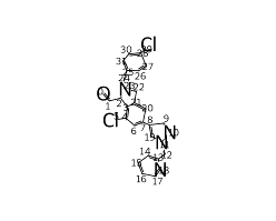 O=CC1c2c(Cl)cc(-c3cnn(Cc4ccccn4)c3)cc2CN1Cc1ccc(Cl)cc1